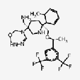 CC1C=CC=CC1[C@]1(CO[C@H](C)c2cc(C(F)(F)F)cc(C(F)(F)F)c2)CC[C@](CN)(N2C=NNCOC2)CN1